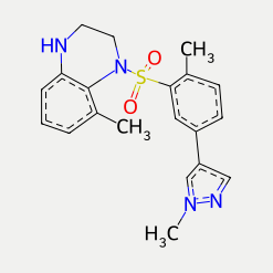 Cc1ccc(-c2cnn(C)c2)cc1S(=O)(=O)N1CCNc2cccc(C)c21